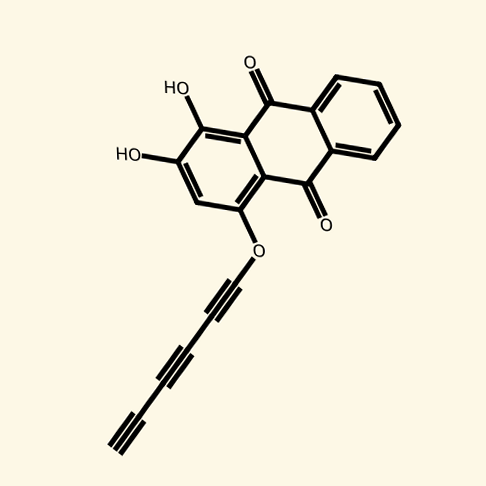 C#CC#CC#COc1cc(O)c(O)c2c1C(=O)c1ccccc1C2=O